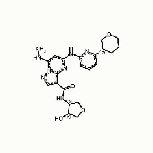 CNc1cc(Nc2cccc([C@H]3CCCOC3)n2)nc2c(C(=O)N[C@H]3COC[C@H]3O)cnn12